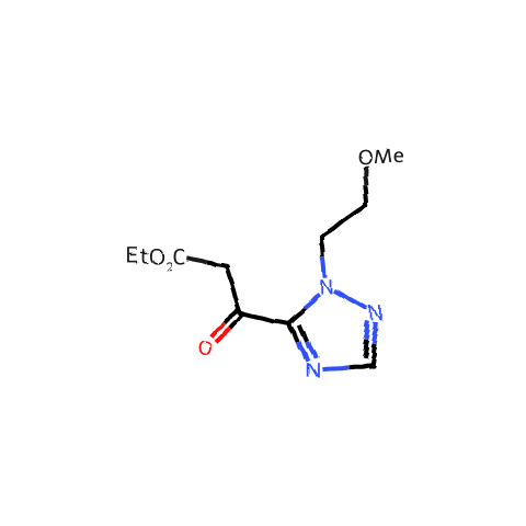 CCOC(=O)CC(=O)c1ncnn1CCOC